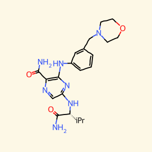 CC(C)[C@@H](Nc1cnc(C(N)=O)c(Nc2cccc(CN3CCOCC3)c2)n1)C(N)=O